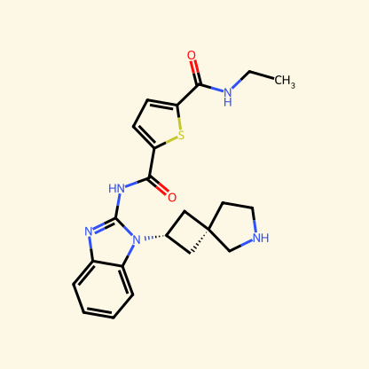 CCNC(=O)c1ccc(C(=O)Nc2nc3ccccc3n2[C@H]2C[C@@]3(CCNC3)C2)s1